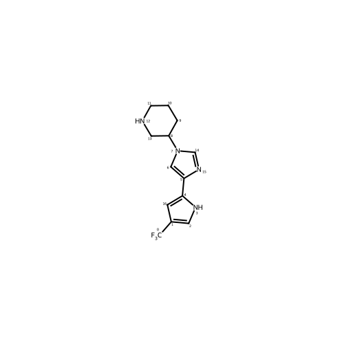 FC(F)(F)c1c[nH]c(-c2cn(C3CCCNC3)cn2)c1